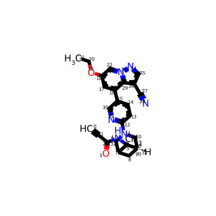 C#CC(=O)NC1(C)C2C[C@@H]1CN(c1ccc(-c3cc(OCC)cn4ncc(C#N)c34)cn1)C2